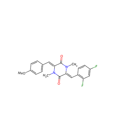 COc1ccc(/C=c2/c(=O)n(C)/c(=C\c3ccc(F)cc3F)c(=O)n2C)cc1